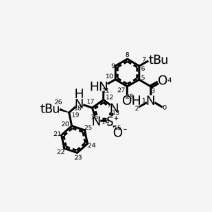 CN(C)C(=O)c1c(C(C)(C)C)ccc(Nc2n[s+]([O-])nc2N[C@@H](c2ccccc2)C(C)(C)C)c1O